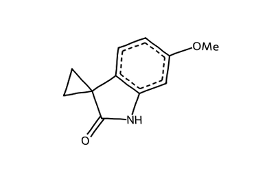 COc1ccc2c(c1)NC(=O)C21CC1